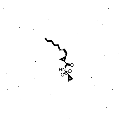 CCCCCC/C=C\C1C[C@@H]1C(=O)NS(=O)(=O)C1CC1